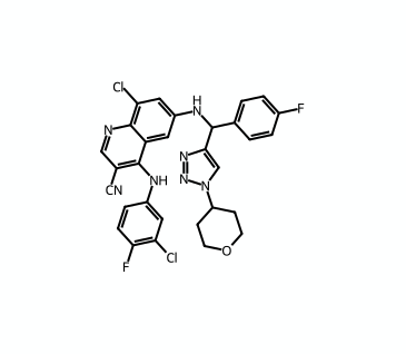 N#Cc1cnc2c(Cl)cc(NC(c3ccc(F)cc3)c3cn(C4CCOCC4)nn3)cc2c1Nc1ccc(F)c(Cl)c1